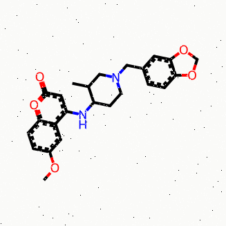 COc1ccc2oc(=O)cc(NC3CCN(Cc4ccc5c(c4)OCO5)CC3C)c2c1